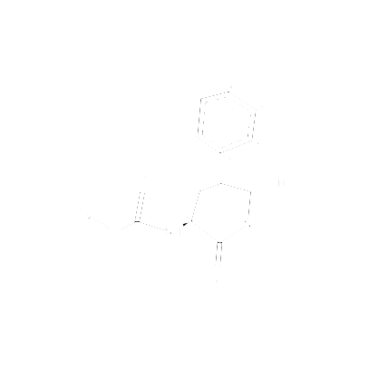 C[C@@H]1NC(=O)[C@@H](NC(=O)OC(C)(C)C)C[C@@H]1c1ccccc1